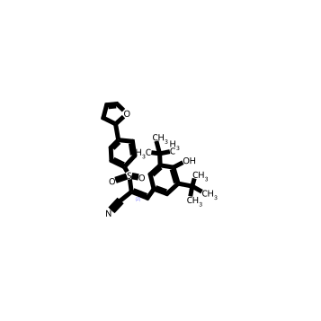 CC(C)(C)c1cc(/C=C(/C#N)S(=O)(=O)c2ccc(C3CC=CO3)cc2)cc(C(C)(C)C)c1O